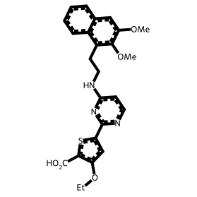 CCOc1cc(-c2nccc(NCCc3c(OC)c(OC)cc4ccccc34)n2)sc1C(=O)O